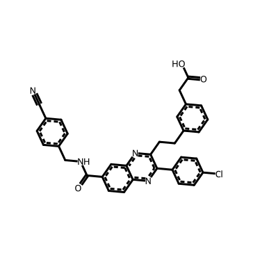 N#Cc1ccc(CNC(=O)c2ccc3nc(-c4ccc(Cl)cc4)c(CCc4cccc(CC(=O)O)c4)nc3c2)cc1